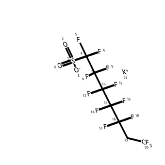 O=S(=O)([O-])C(F)(F)C(F)(F)C(F)(F)C(F)(F)C(F)(F)CC(F)(F)F.[K+]